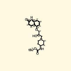 CC(C)(C)OC(=O)NC1CCN(CC(O)COc2cccc3[nH]c(=O)ccc23)CC1